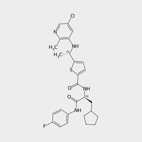 Cc1ncc(Cl)cc1N[C@@H](C)c1ccc(C(=O)N[C@@H](CC2CCCC2)C(=O)Nc2ccc(F)cc2)s1